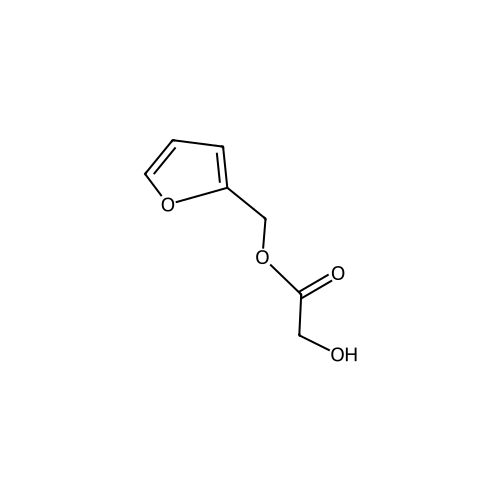 O=C(CO)OCc1ccco1